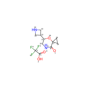 O=C(O)C(F)(F)F.O=C1NCC(C2CNC2)OC12CC2